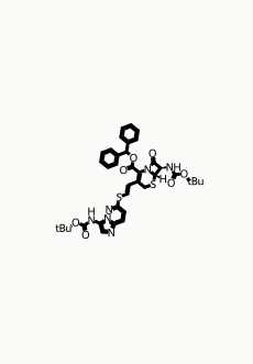 CC(C)(C)OC(=O)Nc1cnc2ccc(S/C=C/C3=C(C(=O)OC(c4ccccc4)c4ccccc4)N4C(=O)[C@@H](NC(=O)OC(C)(C)C)[C@@H]4SC3)nn12